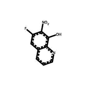 O=[N+]([O-])c1c(F)cc2cccnc2c1O